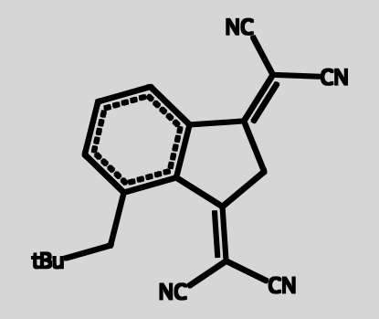 CC(C)(C)Cc1cccc2c1C(=C(C#N)C#N)CC2=C(C#N)C#N